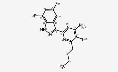 CCCCc1nc(-c2n[nH]c3c(F)cc(F)cc23)nc(N)c1F